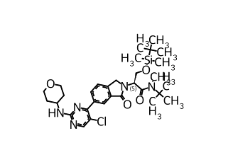 CN(C(=O)[C@H](CO[Si](C)(C)C(C)(C)C)N1Cc2ccc(-c3nc(NC4CCOCC4)ncc3Cl)cc2C1=O)C(C)(C)C